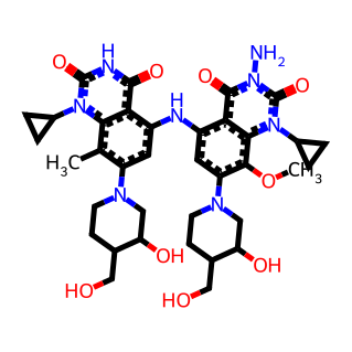 COc1c(N2CCC(CO)C(O)C2)cc(Nc2cc(N3CCC(CO)C(O)C3)c(C)c3c2c(=O)[nH]c(=O)n3C2CC2)c2c(=O)n(N)c(=O)n(C3CC3)c12